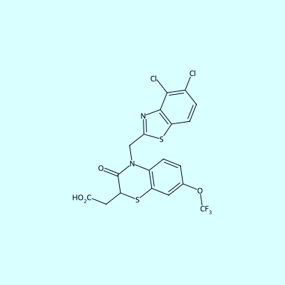 O=C(O)CC1Sc2cc(OC(F)(F)F)ccc2N(Cc2nc3c(Cl)c(Cl)ccc3s2)C1=O